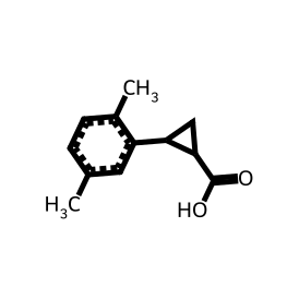 Cc1ccc(C)c(C2CC2C(=O)O)c1